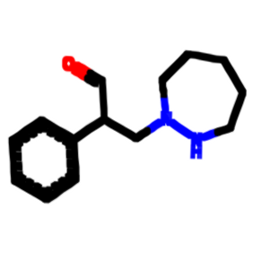 O=CC(CN1CCCCCN1)c1ccccc1